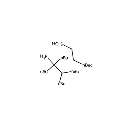 CCCCC(CCCC)C(P)(CCCC)CCCC.CCCCCCCCCCCCS(=O)(=O)O